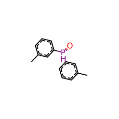 Cc1cccc([PH](=O)c2cccc(C)c2)c1